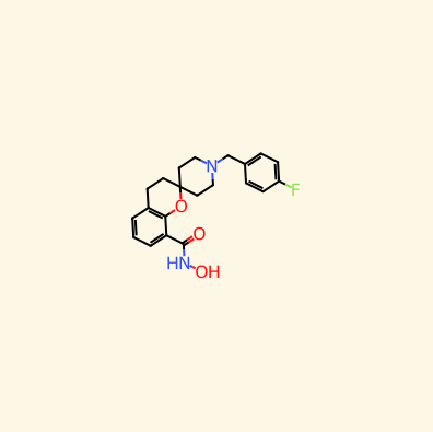 O=C(NO)c1cccc2c1OC1(CC2)CCN(Cc2ccc(F)cc2)CC1